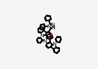 c1ccc(-c2nnc(-c3cccc4c3c3ccccc3n4-c3ccccc3-n3c4ccccc4c4c3ccc3c5ccccc5n(-c5ccccc5)c34)n2-c2ccccc2)cc1